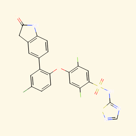 O=C1Cc2cc(-c3cc(Cl)ccc3Oc3cc(F)c(S(=O)(=O)Nc4ncns4)cc3F)ccc2N1